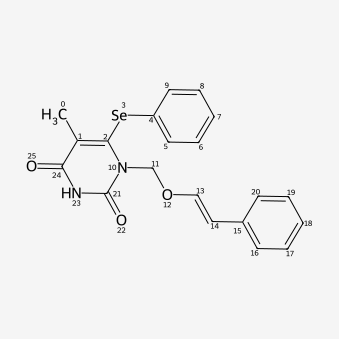 Cc1c([Se]c2ccccc2)n(COC=Cc2ccccc2)c(=O)[nH]c1=O